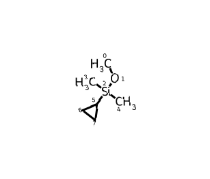 CO[Si](C)(C)C1CC1